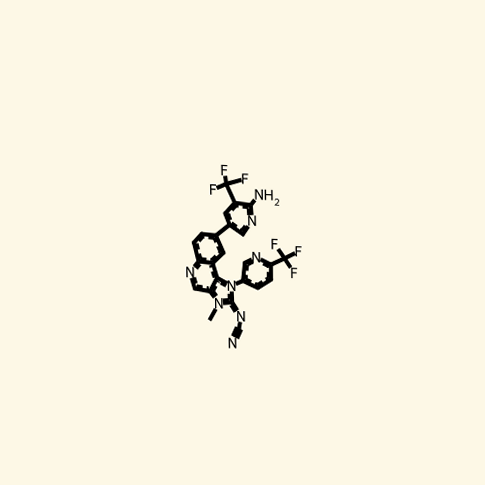 Cn1c(=NC#N)n(-c2ccc(C(F)(F)F)nc2)c2c3cc(-c4cnc(N)c(C(F)(F)F)c4)ccc3ncc21